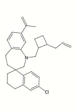 C=CCC1CCC1CN1CC2(CCCc3cc(Cl)ccc32)CCc2ccc(C(=C)C)cc21